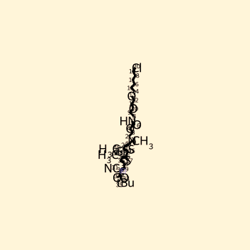 CN(CCOC(=O)NCCOCCOCCCCCCCl)c1cc2c(s1)-c1sc(/C=C(\C#N)C(=O)OC(C)(C)C)cc1[Si]2(C)C